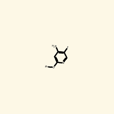 CC(C)Oc1cc(N)c(F)cn1